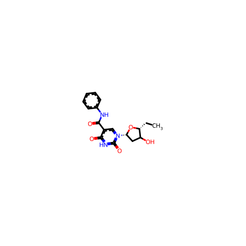 CC[C@H]1O[C@@H](n2cc(C(=O)Nc3ccccc3)c(=O)[nH]c2=O)CC1O